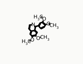 COc1ccc(-c2nccc3cc(OC)c(OC)cc23)cc1OC